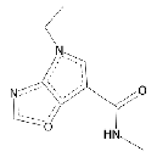 CCn1cc(C(=O)NC)c2ocnc21